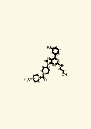 CN1CCN(C(=O)N2CCC(n3cnc4c(-c5cccc(O)c5)nc(NCCO)nc43)CC2)CC1